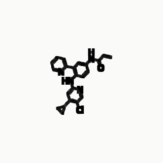 C=CC(=O)Nc1ccc(Nc2cc(C3CC3)c(Cl)cn2)c(-c2ccccn2)c1